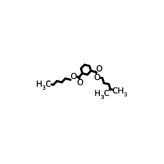 CCCCCCOC(=O)C1CCCC(C(=O)OCCCC(C)C)C1